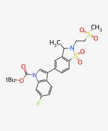 CC1c2cc(-c3cn(C(=O)OC(C)(C)C)c4cc(F)ccc34)ccc2S(=O)(=O)N1CCS(C)(=O)=O